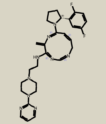 C=C1/N=C(N2CCC[C@@H]2c2cc(F)ccc2F)\C=C/C/N=C\N=C/1NCCN1CCN(c2ncccn2)CC1